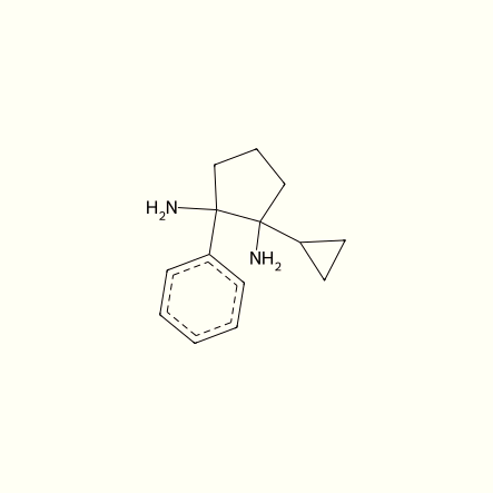 NC1(c2ccccc2)CCCC1(N)C1CC1